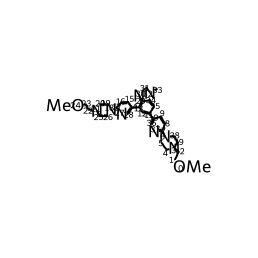 COCCN1CCN(c2ccc(-c3cc(-c4ccc(N5CCN(CCOC)CC5)nc4)c4ncn(C)c4c3)cn2)CC1